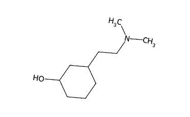 CN(C)CCC1CCCC(O)C1